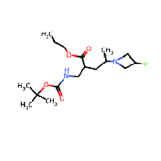 CCCOC(=O)C(CNC(=O)OC(C)(C)C)CC(C)N1CC(F)C1